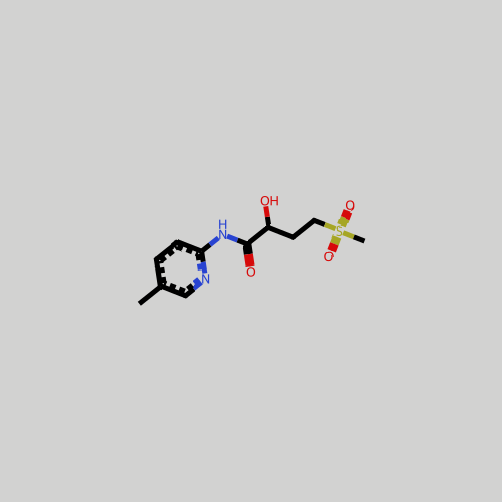 Cc1ccc(NC(=O)C(O)CCS(C)(=O)=O)nc1